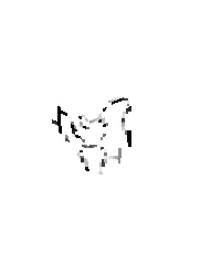 Cc1cccc(I)c1-c1c(C)cccc1I